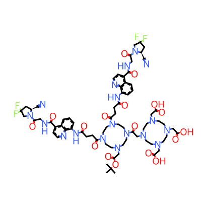 CC(C)(C)OC(=O)CN1CCN(C(=O)CCC(=O)Nc2cccc3c(C(=O)NCC(=O)N4CC(F)(F)C[C@H]4C#N)ccnc23)CCN(C(=O)CCC(=O)Nc2cccc3c(C(=O)NCC(=O)N4CC(F)(F)C[C@H]4C#N)ccnc23)CCN(C(=O)CN2CCN(CC(=O)O)CCN(CC(=O)O)CCN(CC(=O)O)CC2)CC1